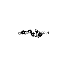 CC1(Cn2c(CN3CCC(c4cccc(OCc5ccc(Cl)cc5F)n4)CC3)nc3ccc(C(=O)O)cc32)COC1